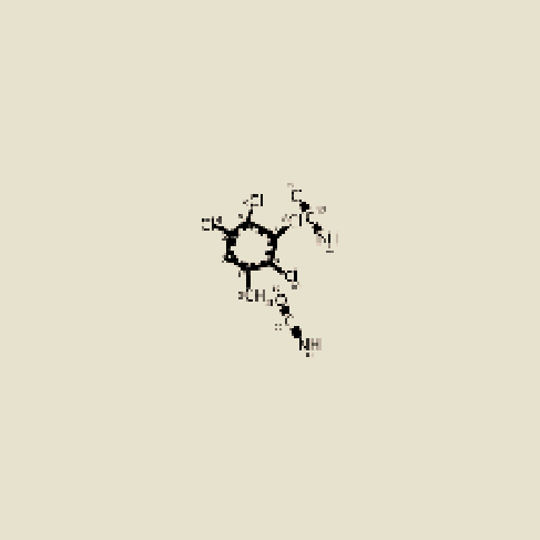 Cc1cc(Cl)c(Cl)c(Cl)c1Cl.N=C=O.N=C=O